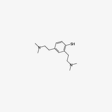 CN(C)CCc1ccc(S)c(CCN(C)C)c1